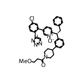 COCCC(=O)N1CCC(c2cccc([C@H](Cc3ccccc3)c3ccc(-c4cc(Cl)ccc4-n4cnnn4)c[n+]3[O-])c2)CC1